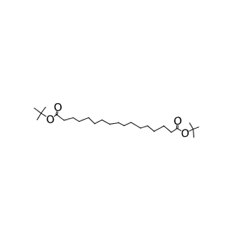 CC(C)(C)OC(=O)CCCCCCCCCCCCCCCC(=O)OC(C)(C)C